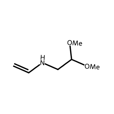 C=CNCC(OC)OC